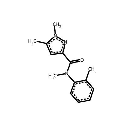 Cc1ccccc1N(C)C(=O)c1cc(C)n(C)n1